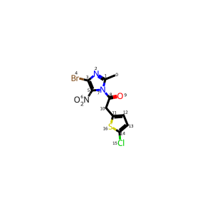 Cc1nc(Br)c([N+](=O)[O-])n1C(=O)Cc1ccc(Cl)s1